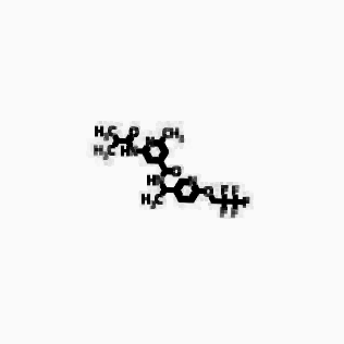 Cc1cc(C(=O)NC(C)c2ccc(OCC(F)(F)C(F)(F)F)nc2)cc(NC(=O)C(C)C)n1